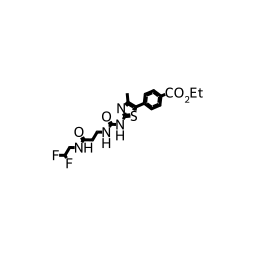 CCOC(=O)c1ccc(-c2sc(NC(=O)NCCC(=O)NCC(F)F)nc2C)cc1